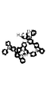 C=Cc1c(/C=C\C)c2ccc(-c3ccc4c5ccccc5n(-c5cccc(-c6cc(-c7ccccc7-c7ccccc7)nc(-n7c8ccccc8c8ccc(-c9ccc%10c%11ccccc%11n(-c%11ccccc%11)c%10c9)cc87)n6)c5)c4c3)cc2n1-c1ccccc1